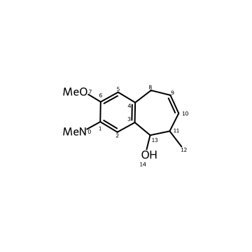 CNc1cc2c(cc1OC)CC=CC(C)C2O